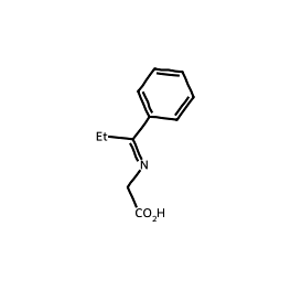 CCC(=NCC(=O)O)c1ccccc1